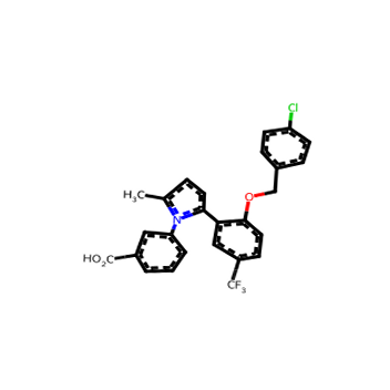 Cc1ccc(-c2cc(C(F)(F)F)ccc2OCc2ccc(Cl)cc2)n1-c1cccc(C(=O)O)c1